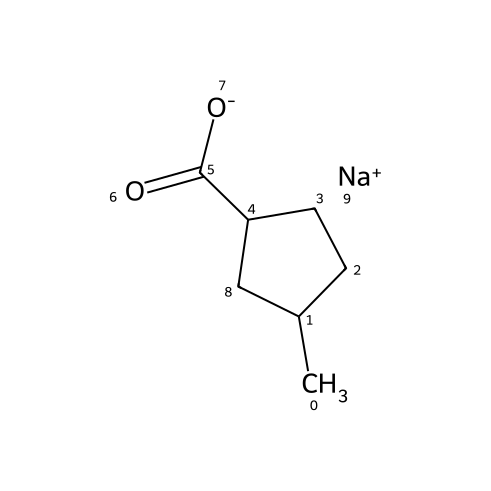 CC1CCC(C(=O)[O-])C1.[Na+]